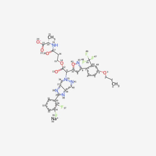 CCCOc1ccc(-c2cc(C(C(=O)OCCC(=O)N[C@@H](C)C(=O)[O-])n3cc4nc(-c5cccc(F)c5F)nc-4cn3)on2)c(C(F)(F)F)c1.[Na+]